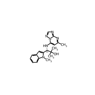 Cc1cc(N[C@@H](c2cc3ccccc3n2C)C(C)(C)O)n2ncnc2n1